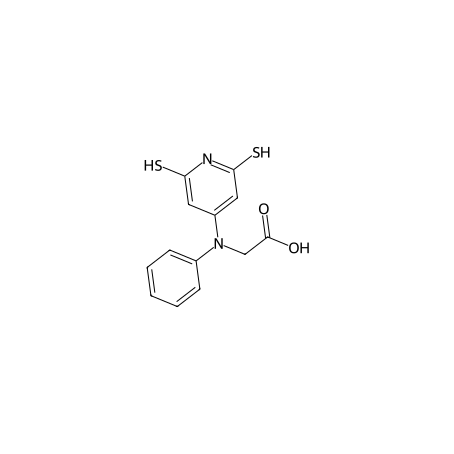 O=C(O)CN(c1ccccc1)c1cc(S)nc(S)c1